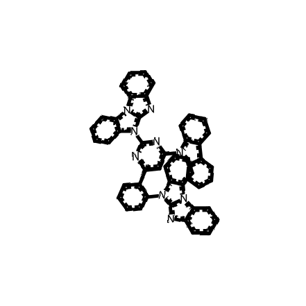 c1ccc(-n2c3ccccc3n3c4ccccc4nc23)c(-c2cc(-n3c4ccccc4c4ccccc43)nc(-n3c4ccccc4n4c5ccccc5nc34)n2)c1